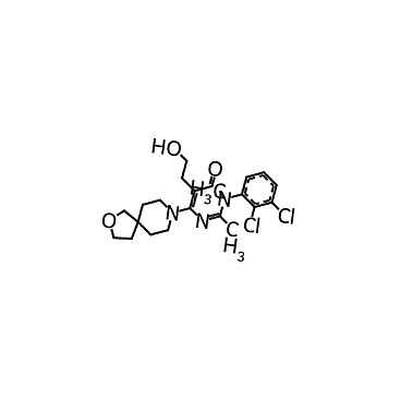 C/C(=N/C(=C(\C=O)CCO)N1CCC2(CCOC2)CC1)N(C)c1cccc(Cl)c1Cl